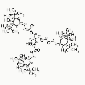 CC(C)(C)c1cc(CCOCOCC(CO)(COC(=O)CCc2cc(C(C)(C)C)c(O)c(C(C)(C)C)c2)COC(=O)CCc2cc(C(C)(C)C)c(O)c(C(C)(C)C)c2)cc(C(C)(C)C)c1O